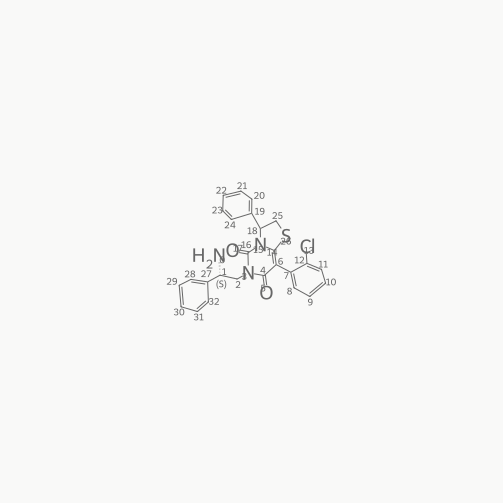 N[C@H](Cn1c(=O)c(-c2ccccc2Cl)c2n(c1=O)C(c1ccccc1)CS2)c1ccccc1